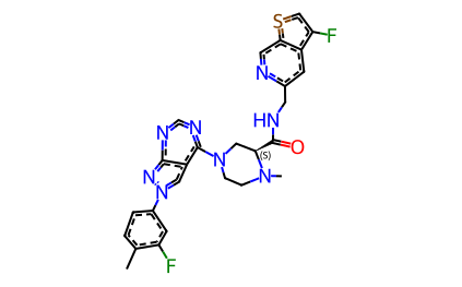 Cc1ccc(-n2cc3c(N4CCN(C)[C@H](C(=O)NCc5cc6c(F)csc6cn5)C4)ncnc3n2)cc1F